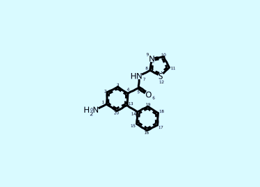 Nc1ccc(C(=O)Nc2nccs2)c(-c2ccccc2)c1